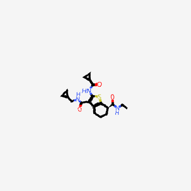 CCNC(=O)[C@H]1CCCc2c1sc(NC(=O)C1CC1)c2C(=O)NCC1CC1